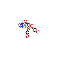 COc1ccc(COc2ccc(C(=O)N3CCN4CCC[C@@H]4C3)c(Cl)c2OCc2ccc(OC)cc2)cc1